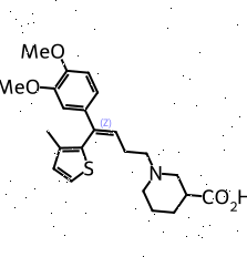 COc1ccc(/C(=C/CCN2CCCC(C(=O)O)C2)c2sccc2C)cc1OC